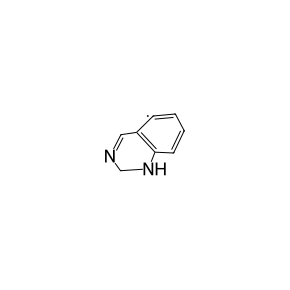 [c]1cccc2c1C=NCN2